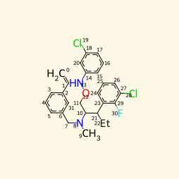 C=Cc1cccc(CN(C)C(CONc2cccc(Cl)c2)C(CC)c2cccc(Cl)c2F)c1